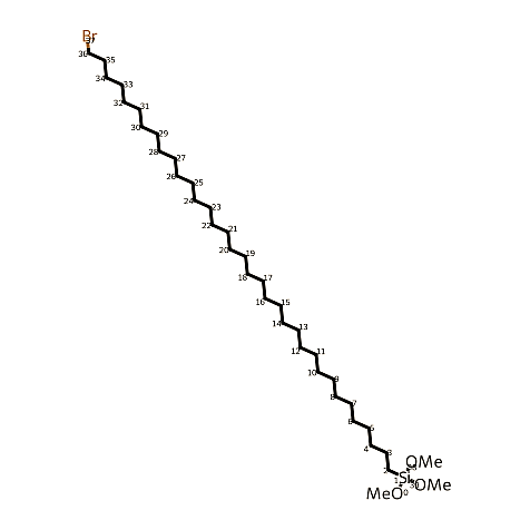 CO[Si](CCCCCCCCCCCCCCCCCCCCCCCCCCCCCCCCCCCBr)(OC)OC